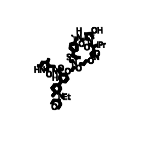 CCN(c1cc(-c2ccc(OCCOCCCOc3cc(C(C(=O)N4C[C@H](O)C[C@H]4C(=O)N[C@@H](C)c4ccc(-c5scnc5C)cc4)C(C)C)on3)c(C(=O)NCc3c(C)cc(C)[nH]c3=O)c2)ccc1C)C1CCOCC1